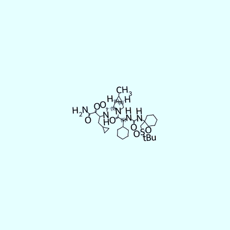 CC1[C@H]2[C@@H]1CN(C(=O)[C@@H](NC(=O)NC1(CS(=O)(=O)C(C)(C)C)CCCCC1)C1CCCCC1)[C@@H]2C(=O)NC(CC1CC1)C(=O)C(N)=O